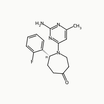 Cc1cc(N2CCC(=O)CC[C@@H]2c2ccccc2F)nc(N)n1